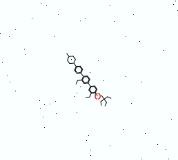 CCc1cc(-c2ccc(-c3ccc(C4CCC(C)CC4)cc3)c(CC)c2)ccc1OCC(CC)(CC)CC